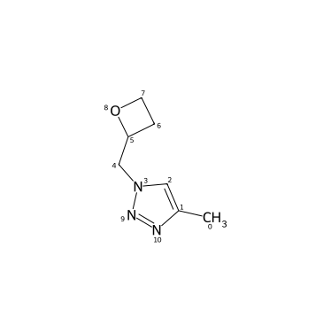 Cc1cn(CC2CCO2)nn1